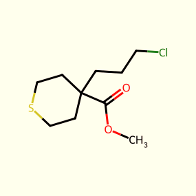 COC(=O)C1(CCCCl)CCSCC1